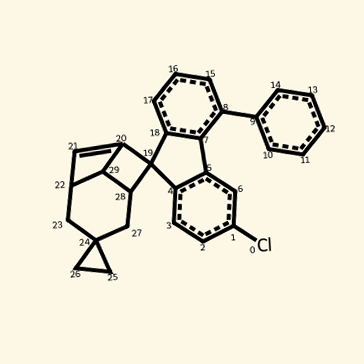 Clc1ccc2c(c1)-c1c(-c3ccccc3)cccc1C21C2=CC3CC4(CC4)CC1C23